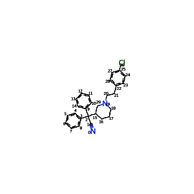 N#CC(c1ccccc1)(c1ccccc1)C1CCCN(CCc2ccc(Cl)cc2)C1